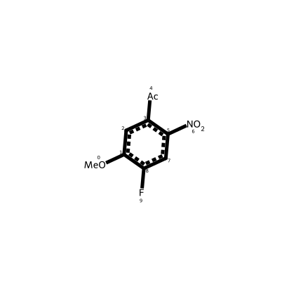 COc1cc(C(C)=O)c([N+](=O)[O-])cc1F